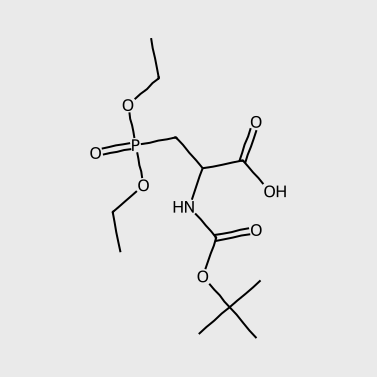 CCOP(=O)(CC(NC(=O)OC(C)(C)C)C(=O)O)OCC